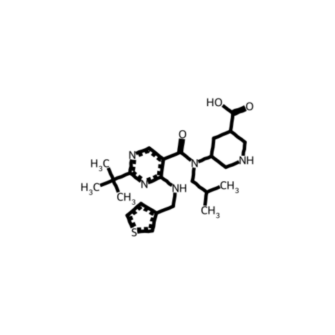 CC(C)CN(C(=O)c1cnc(C(C)(C)C)nc1NCc1ccsc1)C1CNCC(C(=O)O)C1